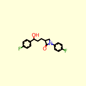 O=C1C(CCC(O)c2ccc(F)cc2)CN1c1ccc(F)cc1